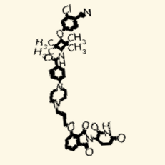 CC1(C)[C@H](NC(=O)c2ccc(N3CCN(CCCOc4cccc5c4C(=O)N(C4CCC(=O)NC4=O)C5=O)CC3)cc2)C(C)(C)[C@H]1Oc1ccc(C#N)c(Cl)c1